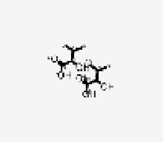 CC(C)C(O)C(=O)O.CC(C)C(O)C(=O)O